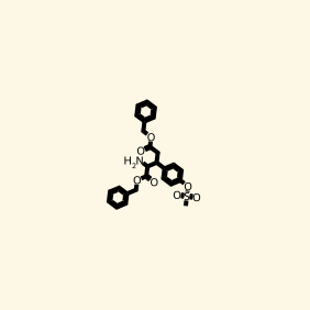 CS(=O)(=O)Oc1ccc(C(CC(=O)OCc2ccccc2)C(N)C(=O)OCc2ccccc2)cc1